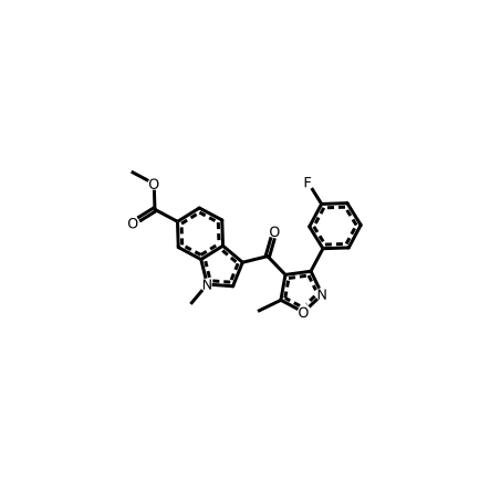 COC(=O)c1ccc2c(C(=O)c3c(-c4cccc(F)c4)noc3C)cn(C)c2c1